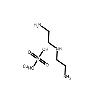 NCCNCCN.O=S(=O)(O)O.[Cu]